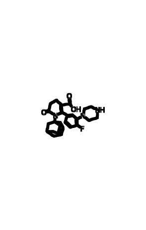 O=C(O)C1=C(c2ccc(F)c(N3CCNCC3)c2)N(C23CC4CCC(C2)C(C4)C3)C(=O)CC1